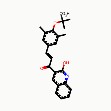 Cc1cc(/C=C/C(=O)c2cc3ccccc3nc2O)cc(C)c1OC(C)(C)C(=O)O